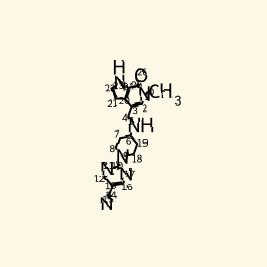 Cn1cc(CNC2CCN(c3ncc(C#N)cn3)CC2)c2cc[nH]c2c1=O